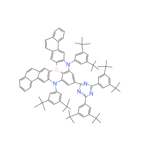 CC(C)(C)c1cc(-c2nc(-c3cc(C(C)(C)C)cc(C(C)(C)C)c3)nc(-c3cc4c5c(c3)N(c3cc(C(C)(C)C)cc(C(C)(C)C)c3)c3cc6c(ccc7ccccc76)cc3B5c3cc5ccc6ccccc6c5cc3N4c3cc(C(C)(C)C)cc(C(C)(C)C)c3)n2)cc(C(C)(C)C)c1